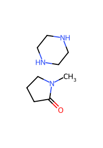 C1CNCCN1.CN1CCCC1=O